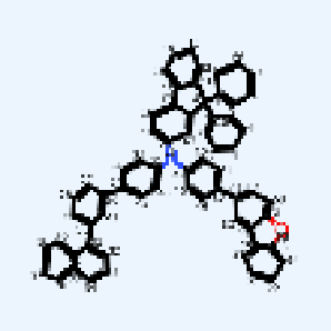 c1ccc(C2(c3ccccc3)c3ccccc3-c3ccc(N(c4ccc(-c5cccc(-c6cccc7ccccc67)c5)cc4)c4ccc(-c5ccc6oc7ccccc7c6c5)cc4)cc32)cc1